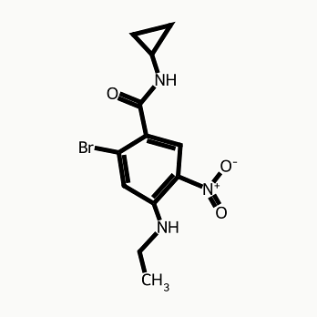 CCNc1cc(Br)c(C(=O)NC2CC2)cc1[N+](=O)[O-]